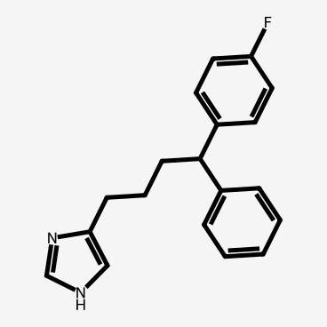 Fc1ccc(C(CCCc2c[nH]cn2)c2ccccc2)cc1